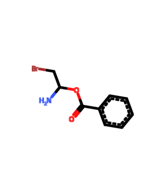 NC(CBr)OC(=O)c1ccccc1